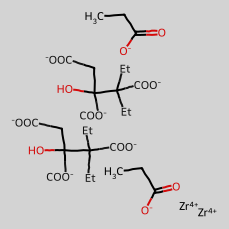 CCC(=O)[O-].CCC(=O)[O-].CCC(CC)(C(=O)[O-])C(O)(CC(=O)[O-])C(=O)[O-].CCC(CC)(C(=O)[O-])C(O)(CC(=O)[O-])C(=O)[O-].[Zr+4].[Zr+4]